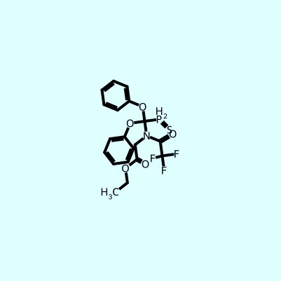 CCOC(=O)CN(C(=O)C(F)(F)F)C(Oc1ccccc1)(Oc1ccccc1)[PH2]=S